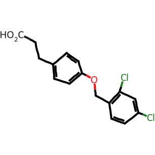 O=C(O)CCc1ccc(OCc2ccc(Cl)cc2Cl)cc1